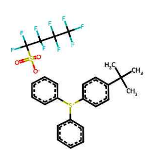 CC(C)(C)c1ccc([S+](c2ccccc2)c2ccccc2)cc1.O=S(=O)([O-])C(F)(F)C(F)(F)C(F)(F)C(F)(F)F